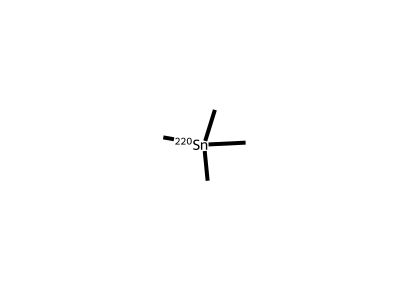 [CH3][220Sn]([CH3])([CH3])[CH3]